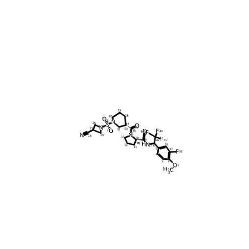 COc1ccc(C(NC(=O)[C@H]2CCCN2C(=O)[C@H]2CCCN(S(=O)(=O)N3CC(C#N)C3)C2)C(F)(F)F)cc1F